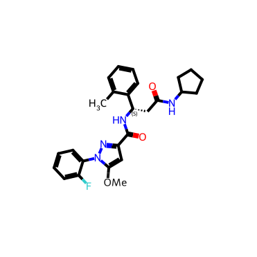 COc1cc(C(=O)N[C@@H](CC(=O)NC2CCCC2)c2ccccc2C)nn1-c1ccccc1F